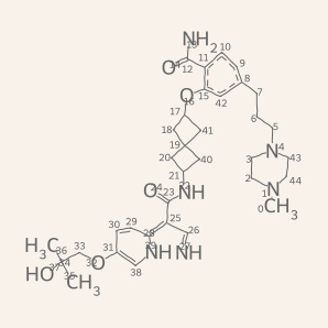 CN1CCN(CCCc2ccc(C(N)=O)c(OC3CC4(CC(NC(=O)/C(C=N)=C5\C=CC(OCC(C)(C)O)=CN5)C4)C3)c2)CC1